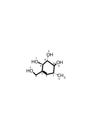 C[C@@H]1C=C(CO)[C@@H](O)[C@H](O)C1O